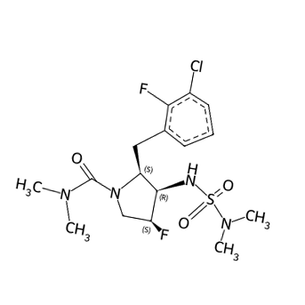 CN(C)C(=O)N1C[C@H](F)[C@H](NS(=O)(=O)N(C)C)[C@@H]1Cc1cccc(Cl)c1F